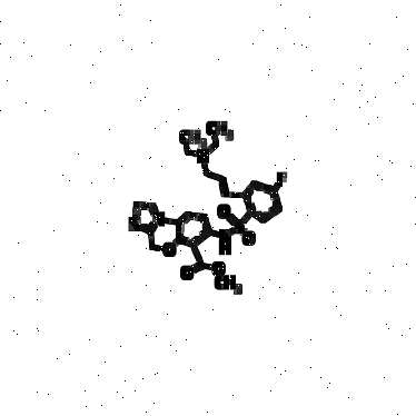 CCN(CC)CC=Cc1cc(F)ccc1S(=O)(=O)Nc1ccc2c(c1C(=O)OC)OCc1nccn1-2